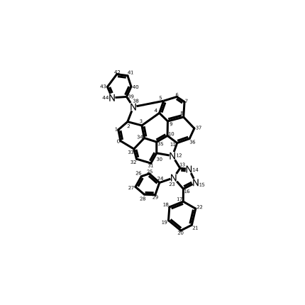 C1=CC2c3c4c(ccc5c4c4c(n(-c6nnc(-c7ccccc7)n6-c6ccccc6)c6ccc1c3c46)=CC5)N2c1ccccn1